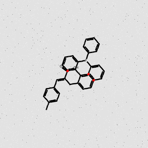 Cc1ccc(/C=C(\Cc2ccccc2-c2ccccc2P(c2ccccc2)c2ccccc2)C(=O)O)cc1